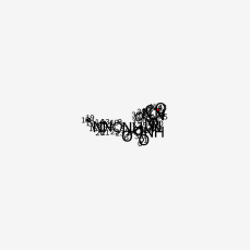 COc1cc(C(=O)N[C@H]2CC[C@H](N3CCN(CC4CC4)CC3)CC2)ccc1Nc1ncc2c(n1)N(C1CCCC1)CCC(=O)N2C